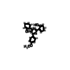 COc1ccc(-c2nc(-c3ccccc3O)nc(-c3ccccc3O)n2)cc1